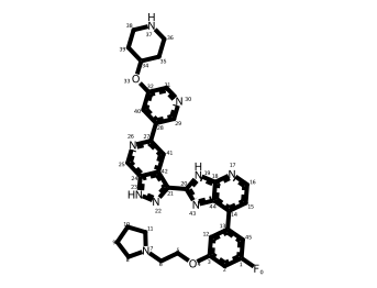 Fc1cc(OCCN2CCCC2)cc(-c2ccnc3[nH]c(-c4n[nH]c5cnc(-c6cncc(OC7CCNCC7)c6)cc45)nc23)c1